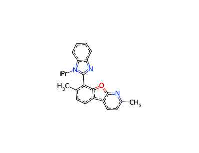 Cc1ccc2c(n1)oc1c(-c3nc4ccccc4n3C(C)C)c(C)ccc12